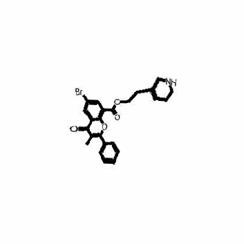 Cc1c(-c2ccccc2)oc2c(C(=O)OCCC3CCCNC3)cc(Br)cc2c1=O